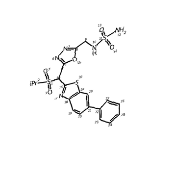 CC(C)S(=O)(=O)C(c1nnc(CNS(N)(=O)=O)o1)c1nc2ccc(-c3ccccc3)cc2s1